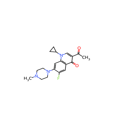 CC(=O)c1cn(C2CC2)c2cc(N3CCN(C)CC3)c(F)cc2c1=O